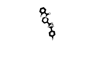 O=C(c1ccccc1F)N1CCCC(c2nsc(-c3ccc(F)cc3)n2)C1